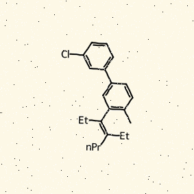 CCC/C(CC)=C(\CC)c1cc(-c2cccc(Cl)c2)ccc1C